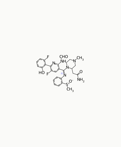 CN1CCN(/C(=N/c2ccccc2[S+](C)[O-])c2cc(F)c(-c3c(O)cccc3F)nc2NC=O)C(CC(N)=O)C1